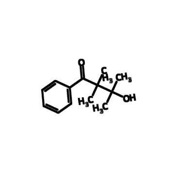 CC(C)(O)C(C)(C)C(=O)c1ccccc1